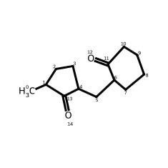 CC1CCC(CC2CCCCC2=O)C1=O